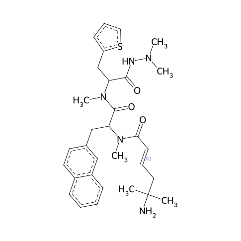 CN(C)NC(=O)C(Cc1cccs1)N(C)C(=O)C(Cc1ccc2ccccc2c1)N(C)C(=O)/C=C/CC(C)(C)N